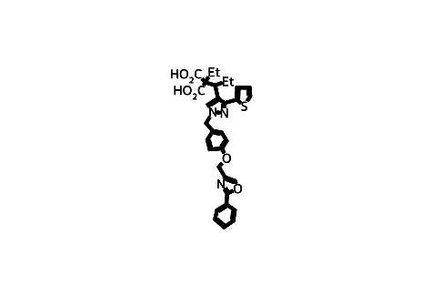 CCC(c1cn(Cc2ccc(OCc3coc(-c4ccccc4)n3)cc2)nc1-c1cccs1)C(CC)(C(=O)O)C(=O)O